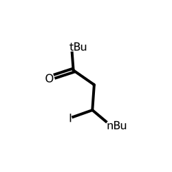 CCCCC(I)CC(=O)C(C)(C)C